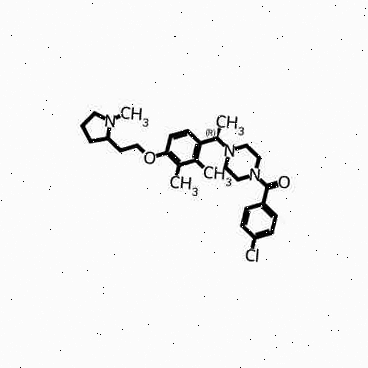 Cc1c(OCCC2CCCN2C)ccc([C@@H](C)N2CCN(C(=O)c3ccc(Cl)cc3)CC2)c1C